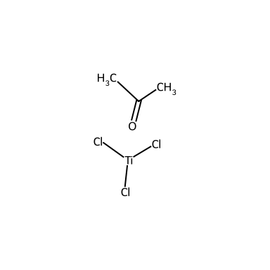 CC(C)=O.[Cl][Ti]([Cl])[Cl]